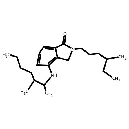 CCCCC(C)C(C)Nc1cccc2c1CN(CCCC(C)CC)C2=O